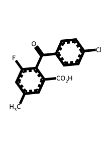 Cc1cc(F)c(C(=O)c2ccc(Cl)cc2)c(C(=O)O)c1